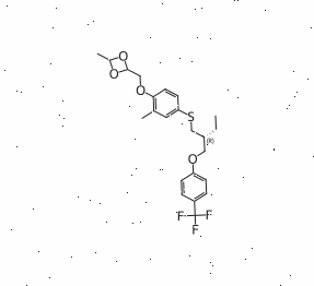 CC[C@H](COc1ccc(C(F)(F)F)cc1)CSc1ccc(OCC2OC(C)O2)c(C)c1